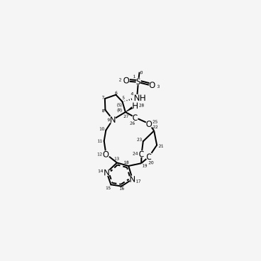 CS(=O)(=O)N[C@H]1CCCN2CCOc3nccnc3C3CCC(CC3)OC[C@@H]12